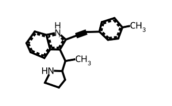 Cc1ccc(C#Cc2[nH]c3ccccc3c2C(C)C2CCCN2)cc1